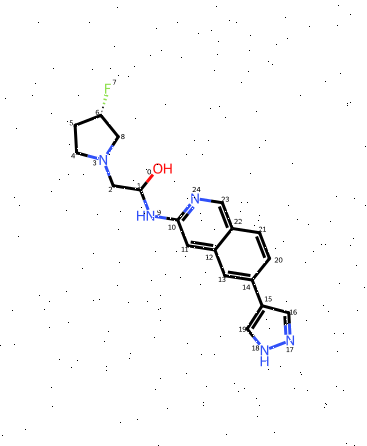 OC(CN1CC[C@H](F)C1)Nc1cc2cc(-c3cn[nH]c3)ccc2cn1